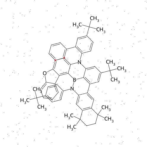 CC(C)(C)c1ccc(N2B3c4c(cc(C(C)(C)C)cc4N(c4ccc(C(C)(C)C)cc4-c4ccccc4)c4ccc5oc6ccccc6c5c43)-c3cc4c(cc32)C(C)(C)CCC4(C)C)cc1